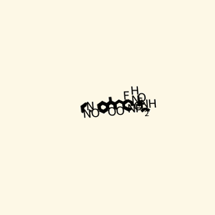 C=C(NS(=O)(=O)NC(C)C)/C(F)=C(\C=C/N)Cc1c(C)c2ccc(Oc3ncccn3)cc2oc1=O